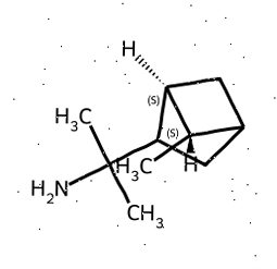 C[C@H]1C2CC(C(C)(C)N)[C@H]1C2